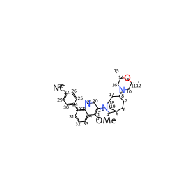 COc1c(N2CC3CCC(N4C[C@@H](C)O[C@@H](C)C4)CC2C3)cnc2c(-c3ccc(C#N)cc3)cccc12